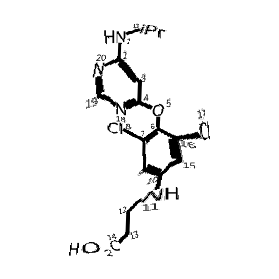 CC(C)Nc1cc(Oc2c(Cl)cc(NCCC(=O)O)cc2Cl)ncn1